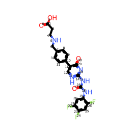 O=C(O)CCNCc1ccc(-c2c[nH]c(NC(=O)Nc3cc(F)c(F)cc3F)nc2=O)cc1